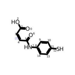 O=C(O)/C=C\C(=O)Nc1ccc(S)cc1